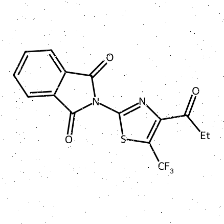 CCC(=O)c1nc(N2C(=O)c3ccccc3C2=O)sc1C(F)(F)F